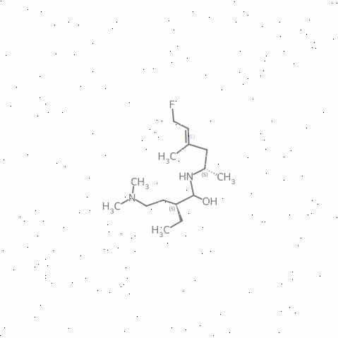 CC[C@@H](CCN(C)C)C(O)N[C@@H](C)C/C(C)=C/CF